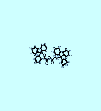 O=C(COC(c1ccccc1)(c1ccccc1)c1ccccc1)OC(=O)COC(c1ccccc1)(c1ccccc1)c1ccccc1